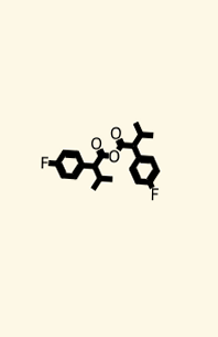 CC(C)C(C(=O)OC(=O)C(c1ccc(F)cc1)C(C)C)c1ccc(F)cc1